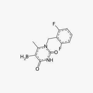 Bc1c(C)n(Cc2c(F)cccc2F)c(=O)[nH]c1=O